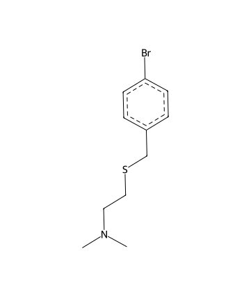 CN(C)CCSCc1ccc(Br)cc1